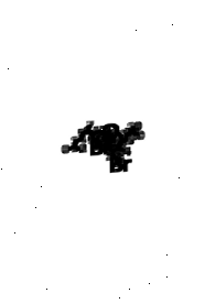 CC(C)CCCC(C)C(CCBr)CC(=O)OC(=O)CC(CCBr)C(C)CCCC(C)C